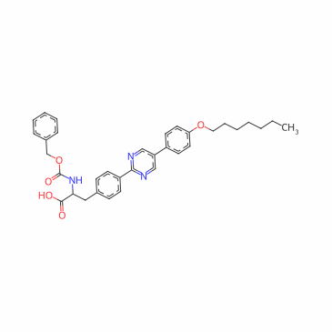 CCCCCCCOc1ccc(-c2cnc(-c3ccc(CC(NC(=O)OCc4ccccc4)C(=O)O)cc3)nc2)cc1